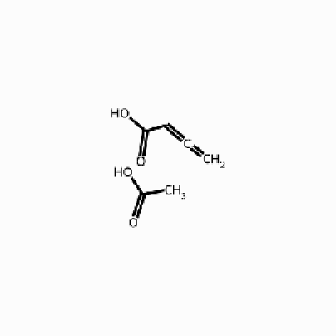 C=C=CC(=O)O.CC(=O)O